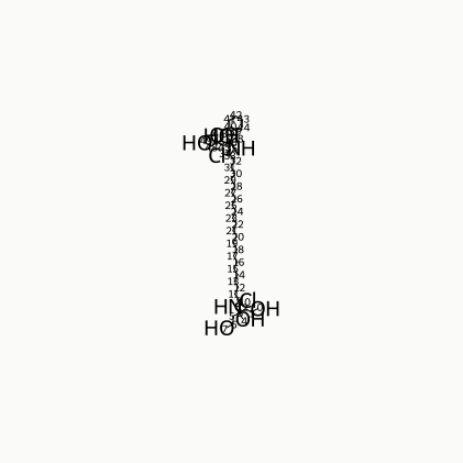 OCCC(O)(CCO)NC(Cl)CCCCCCCCCCCCCCCCCCCCCCC(Cl)NC(O)(Cc1ccccc1)CC(O)CO